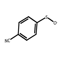 N#Cc1ccc(S[O])cc1